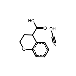 N#CO.O=C(O)C1CCOc2ccccc21